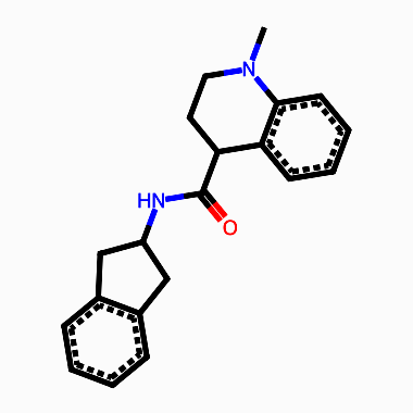 CN1CCC(C(=O)NC2Cc3ccccc3C2)c2ccccc21